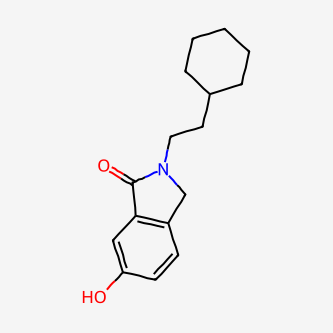 O=C1c2cc(O)ccc2CN1CCC1CCCCC1